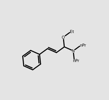 CCCN(CCC)C(C=Cc1ccccc1)OCC